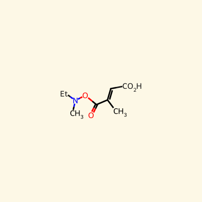 CCN(C)OC(=O)C(C)=CC(=O)O